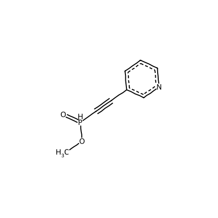 CO[PH](=O)C#Cc1cccnc1